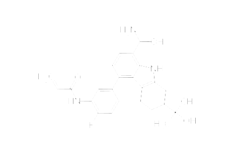 C=CC(=O)Nc1cc(-c2ccc(C(N)O)c3[nH]c4c(c23)CCC(C(C)(C)O)C4)ccc1F